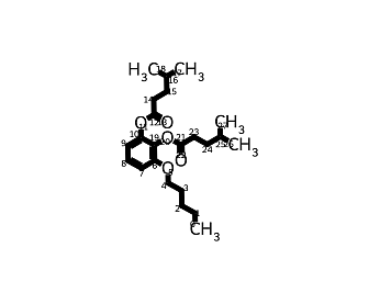 CCCCCOc1cccc(OC(=O)CCC(C)C)c1OC(=O)CCC(C)C